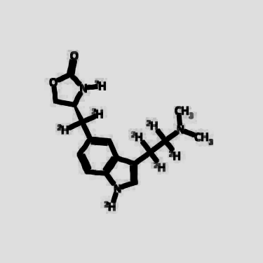 [2H]N1C(=O)OC[C@@H]1C([2H])([2H])c1ccc2c(c1)c(C([2H])([2H])C([2H])([2H])N(C)C)cn2[2H]